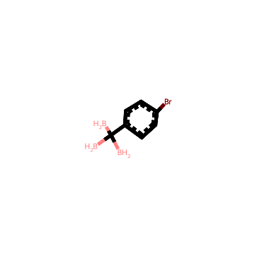 BC(B)(B)c1ccc(Br)cc1